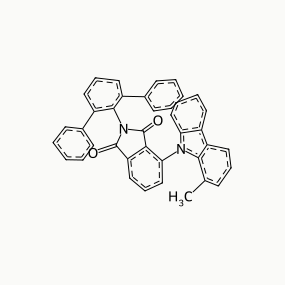 Cc1cccc2c3ccccc3n(-c3cccc4c3C(=O)N(c3c(-c5ccccc5)cccc3-c3ccccc3)C4=O)c12